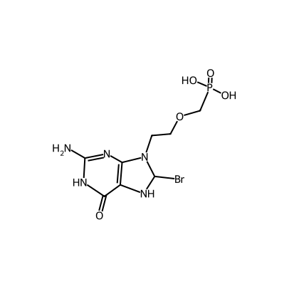 Nc1nc2c(c(=O)[nH]1)NC(Br)N2CCOCP(=O)(O)O